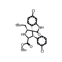 CC(C)(C)C[C@@H]1NC(C(=O)OC(C)(C)C)[C@H](c2cccc(Cl)c2)[C@]12C(=O)Nc1cc(Cl)ccc12